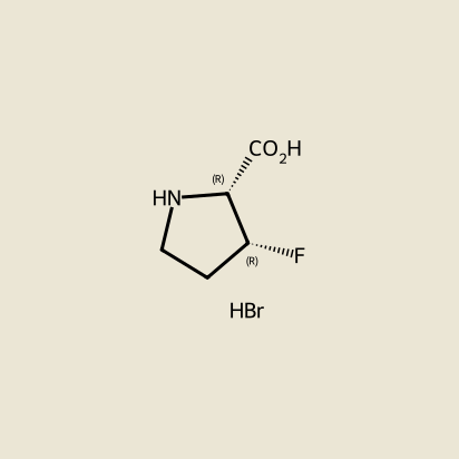 Br.O=C(O)[C@H]1NCC[C@H]1F